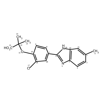 Cc1ccc2nc(-c3ccc(OC(C)(C)C(=O)O)c(Cl)c3)[nH]c2c1